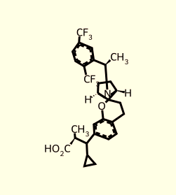 C[C@H](C(=O)O)C(c1ccc2c(c1)OC1(CC2)[C@@H]2CC[C@H]1CN([C@H](C)c1cc(C(F)(F)F)ccc1C(F)(F)F)C2)C1CC1